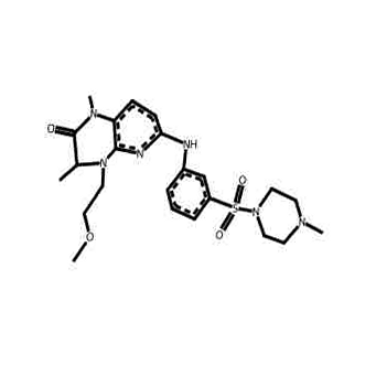 COCCN1c2nc(Nc3cccc(S(=O)(=O)N4CCN(C)CC4)c3)ccc2N(C)C(=O)C1C